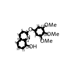 COc1cc(Oc2ccc3cccc(O)c3n2)cc(OC)c1OC